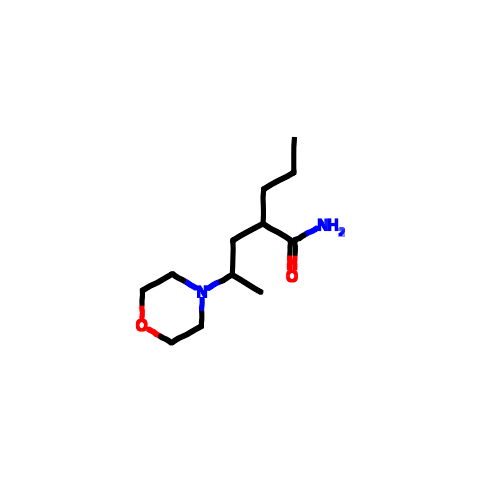 CCCC(CC(C)N1CCOCC1)C(N)=O